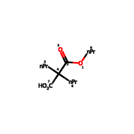 CCCOC(=O)C(CCC)(CCC)C(=O)O